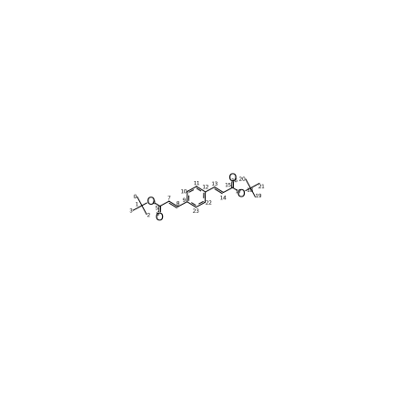 CC(C)(C)OC(=O)C=Cc1ccc(C=CC(=O)OC(C)(C)C)cc1